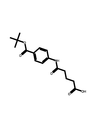 CC(C)(C)OC(=O)c1ccc(NC(=O)CCCC(=O)O)cc1